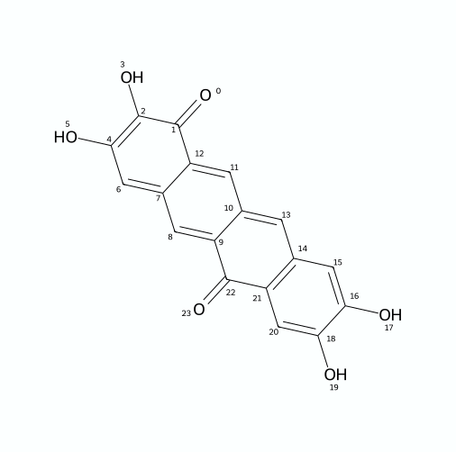 O=C1C(O)=C(O)C=c2cc3c(cc21)=Cc1cc(O)c(O)cc1C3=O